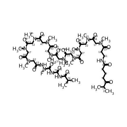 CC(C)C(=O)CCCC(=O)NCCC(=O)N(C)CC(=O)N(C)CC(=O)N(C)CC(=O)N(C)CC(=O)N(C)CC(=O)N(C)CC(=O)N(C)CC(=O)N(C)CC(=O)N(C)CC(=O)N(C)CC(=O)NN(F)C(=O)NC(=O)NC(=O)C(C)C